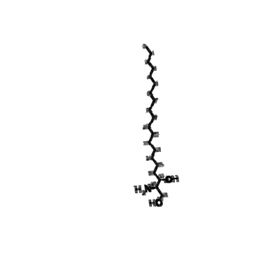 CCCCCCCCCCCCCCCCC[C@@H](O)[C@H](N)CO